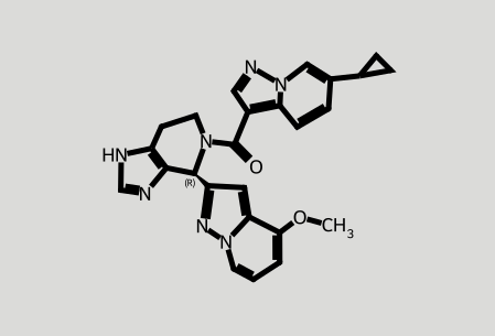 COc1cccn2nc([C@H]3c4nc[nH]c4CCN3C(=O)c3cnn4cc(C5CC5)ccc34)cc12